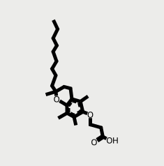 CCCCCCCCCC1(C)CCc2c(C)c(OCCC(=O)O)c(C)c(C)c2O1